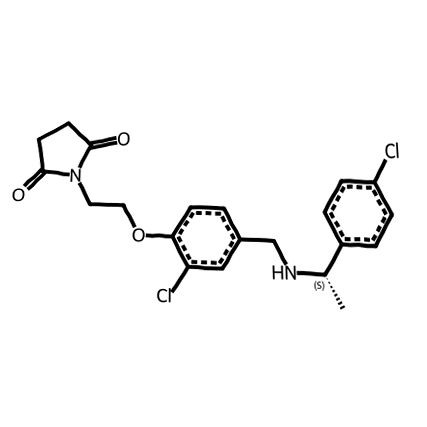 C[C@H](NCc1ccc(OCCN2C(=O)CCC2=O)c(Cl)c1)c1ccc(Cl)cc1